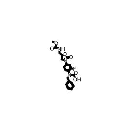 COC(=O)NCC1CN(c2ccc(N(Cc3ccccc3)C(=O)O)c(F)c2)C(=O)O1